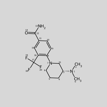 CN(C)[C@@H]1CCCN(c2ccc(C(N)=O)cc2C(F)(F)F)C1